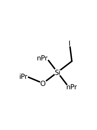 CCC[Si](CI)(CCC)OC(C)C